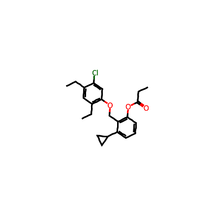 CCC(=O)Oc1cccc(C2CC2)c1COc1cc(Cl)c(CC)cc1CC